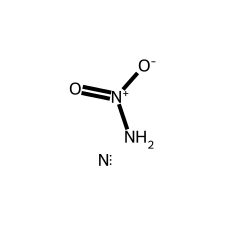 N[N+](=O)[O-].[N]